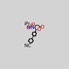 CC(C)S(=O)(=O)NC1CCC(=O)OC1c1ccc(-c2ccc(C#N)cc2)cc1